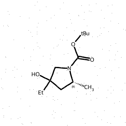 CCC1(O)C[C@@H](C)N(C(=O)OC(C)(C)C)C1